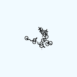 C=C1CC(CCC=O)O[C@H]1CCC1C[C@@H](C)C(=C)[C@@H](C[C@@H]2O[C@H](C[C@@H](CO[Si](C)(C)C(C)(C)C)O[Si](C)(C)C(C)(C)C)[C@H](OC)[C@H]2CC(=O)OC)O1